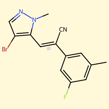 Cc1cc(F)cc(/C(C#N)=C/c2c(Br)cnn2C)c1